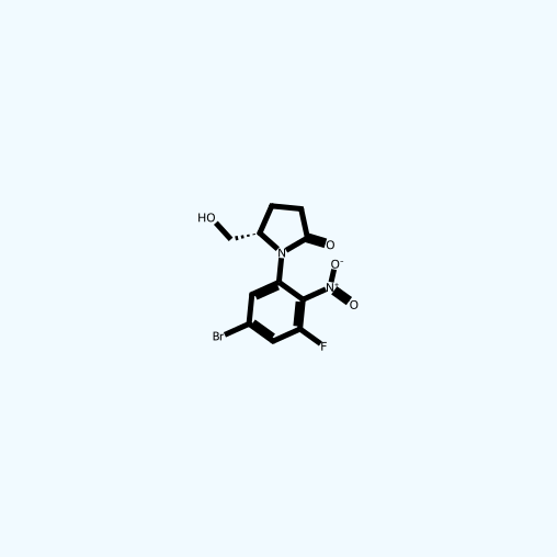 O=C1CC[C@@H](CO)N1c1cc(Br)cc(F)c1[N+](=O)[O-]